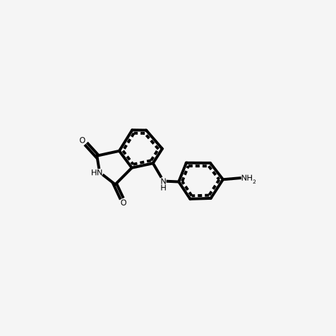 Nc1ccc(Nc2cccc3c2C(=O)NC3=O)cc1